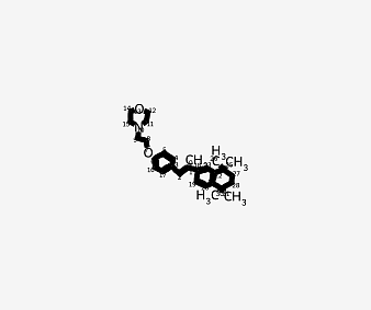 CC(=Cc1ccc(OCCN2CCOCC2)cc1)c1ccc2c(c1)C(C)(C)CCC2(C)C